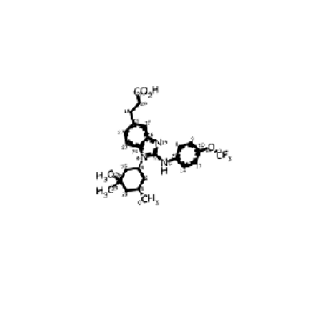 C[C@@H]1C[C@H](n2c(Nc3ccc(OC(F)(F)F)cc3)nc3cc(CCC(=O)O)ccc32)CC(C)(C)C1